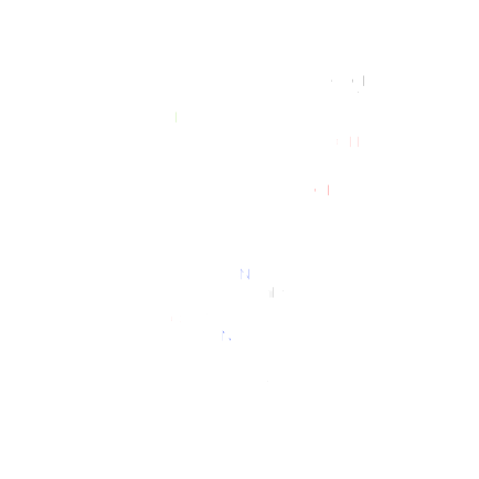 CC(C)n1c(/C=C/C(O)CC(O)CC(=O)O)c(-c2ccc(F)cc2)c(-c2ccccc2)c1C(=O)N1CCc2ccccc2C1